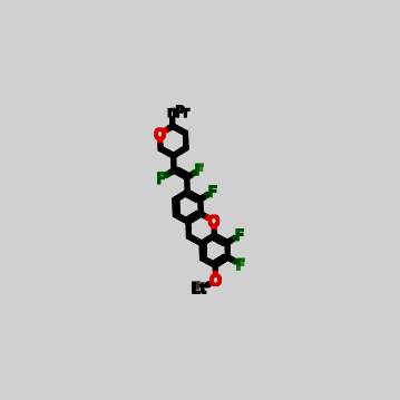 CCCC1CCC(/C(F)=C(\F)c2ccc3c(c2F)Oc2c(cc(OCC)c(F)c2F)C3)CO1